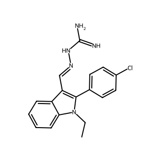 CCn1c(-c2ccc(Cl)cc2)c(C=NNC(=N)N)c2ccccc21